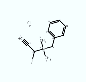 C#CC(I)[N+](C)(C)Cc1ccccc1.[Cl-]